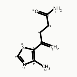 C=C(CCC(N)=O)c1scnc1C